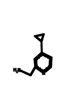 NCc1cc(C2CC2)ccn1